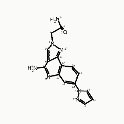 NC(=O)Cn1cc2c(N)nc3cc(-n4cccn4)ccc3c2n1